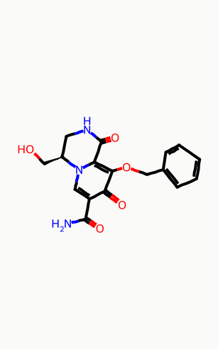 NC(=O)c1cn2c(c(OCc3ccccc3)c1=O)C(=O)NC[C@@H]2CO